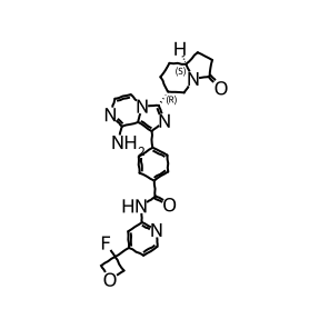 Nc1nccn2c([C@@H]3CC[C@H]4CCC(=O)N4C3)nc(-c3ccc(C(=O)Nc4cc(C5(F)COC5)ccn4)cc3)c12